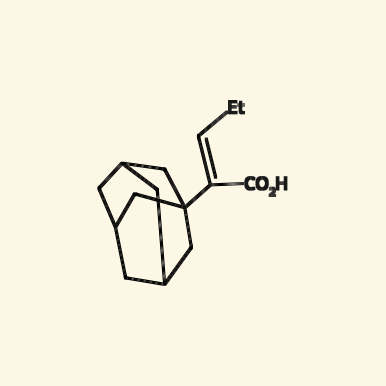 CCC=C(C(=O)O)C12CC3CC(CC(C3)C1)C2